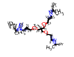 CCC(COC/C=C/N=C(\C)C(C)C)(COC/C=C/N=C(\C)C(C)C)COC/C=C/N=C(\C)C(C)C